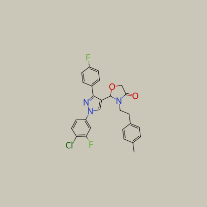 Cc1ccc(CCN2C(=O)COC2c2cn(-c3ccc(Cl)c(F)c3)nc2-c2ccc(F)cc2)cc1